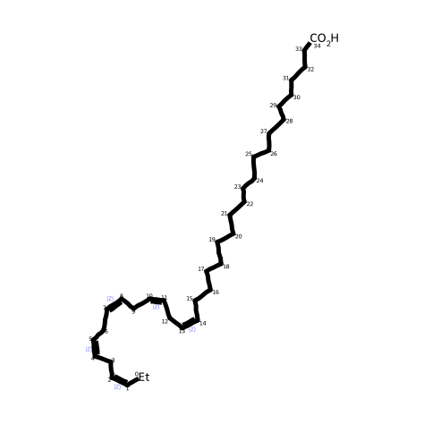 CC/C=C\C/C=C\C/C=C\C/C=C\C/C=C\CCCCCCCCCCCCCCCCCCCC(=O)O